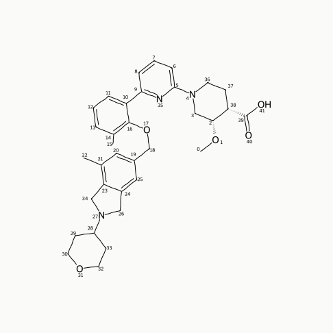 CO[C@@H]1CN(c2cccc(-c3cccc(C)c3OCc3cc(C)c4c(c3)CN(C3CCOCC3)C4)n2)CC[C@@H]1C(=O)O